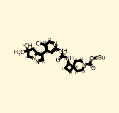 CC1(C)Cc2c(-c3cc(NC(=O)NC4CCC45CCN(C(=O)OC(C)(C)C)CC5)ncc3Cl)cnn2C1